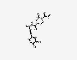 C=CC(=O)N1CCN(C(=O)NC(C)C#Cc2ccc(Cl)c(Cl)c2)CC1=O